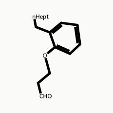 CCCCCCCCc1ccccc1OCCC=O